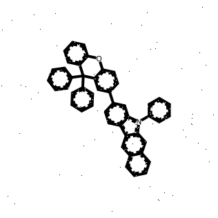 c1ccc(-n2c3cc(-c4ccc5c(c4)C(c4ccccc4)(c4ccccc4)c4ccccc4O5)ccc3c3cc4ccccc4cc32)cc1